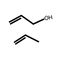 C=CC.C=CCO